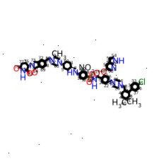 C[C@@H]1CN([C@H]2CC[C@H](CNc3ccc(S(=O)(=O)NC(=O)c4ccc(N5CCN(CC6=C(c7ccc(Cl)cc7)CC(C)(C)CC6)CC5)cc4Oc4cnc5[nH]ccc5c4)cc3[N+](=O)[O-])CC2)CCN1Cc1ccc2c(c1)CN(C1CCC(=O)NC1=O)C2=O